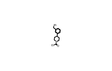 CCC(=O)N1CCC(c2cccc(CC(C)C)c2)CC1